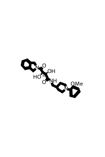 COc1ccccc1N1CCC(CNC(=O)[C@H](O)[C@@H](O)C(=O)N2Cc3ccccc3C2)CC1